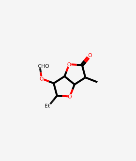 CCC1OC2C(C)C(=O)OC2C1OC=O